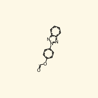 O=[C]Oc1ccc(-n2nc3ccccc3n2)cc1